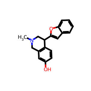 CN1Cc2cc(O)ccc2C(c2cc3ccccc3o2)C1